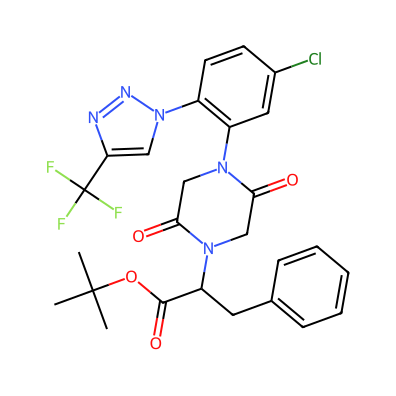 CC(C)(C)OC(=O)C(Cc1ccccc1)N1CC(=O)N(c2cc(Cl)ccc2-n2cc(C(F)(F)F)nn2)CC1=O